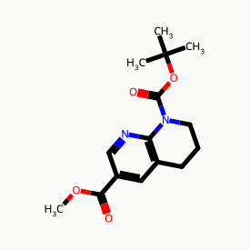 COC(=O)c1cnc2c(c1)CCCN2C(=O)OC(C)(C)C